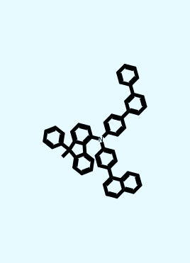 CC1(c2ccccc2)c2ccccc2-c2c(N(c3ccc(-c4cccc(-c5ccccc5)c4)cc3)c3ccc(-c4cccc5ccccc45)cc3)cccc21